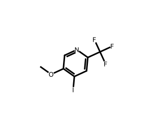 COc1cnc(C(F)(F)F)cc1I